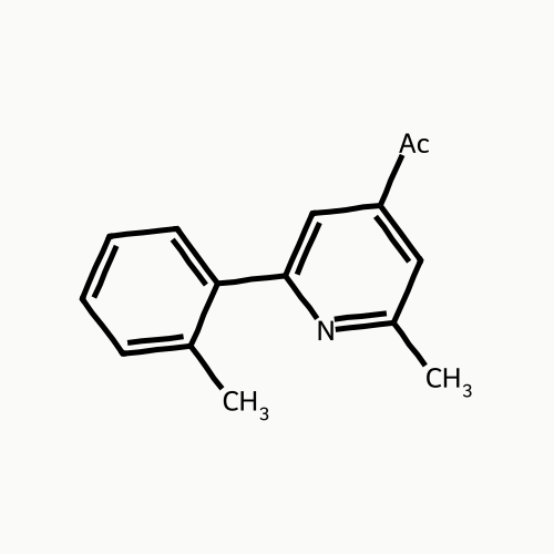 CC(=O)c1cc(C)nc(-c2ccccc2C)c1